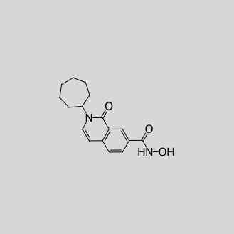 O=C(NO)c1ccc2ccn(C3CCCCCC3)c(=O)c2c1